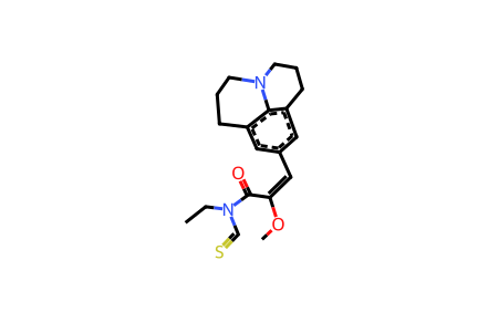 CCN(C=S)C(=O)/C(=C\c1cc2c3c(c1)CCCN3CCC2)OC